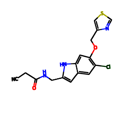 N#CCC(=O)NCc1cc2cc(Cl)c(OCc3cscn3)cc2[nH]1